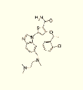 C[C@@H](Oc1cc(-n2cnc3ccc(CN(C)CCN(C)C)cc32)sc1C(N)=O)c1ccccc1Cl